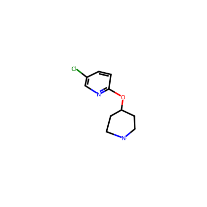 Clc1ccc(OC2CC[N]CC2)nc1